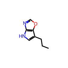 CCCc1c[nH]c2ncoc12